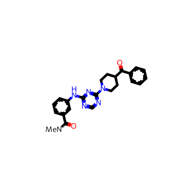 CNC(=O)c1cccc(Nc2ncnc(N3CCC(C(=O)c4ccccc4)CC3)n2)c1